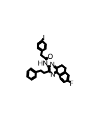 O=C(Cc1ccc(I)cc1)Nc1nc2c(nc1CCc1ccccc1)-c1ccc(F)cc1CC2